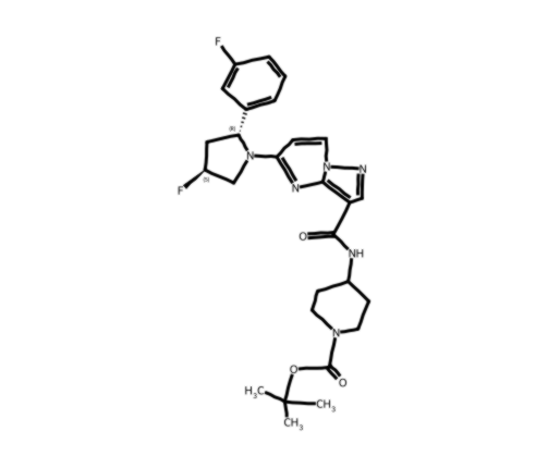 CC(C)(C)OC(=O)N1CCC(NC(=O)c2cnn3ccc(N4C[C@@H](F)C[C@@H]4c4cccc(F)c4)nc23)CC1